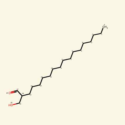 CCCCCCCCCCCCCCCC[C](C=O)CO